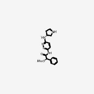 CO[C@@H](C(=O)Nc1ccc(N[C@@H]2CCNC2)nn1)c1ccccc1